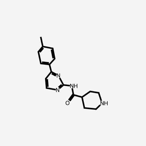 Cc1ccc(-c2ccnc(NC(=O)C3CCNCC3)n2)cc1